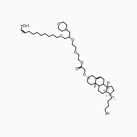 CCCCCCCC/C=C\CCCCCCCCOCC(CN1CCOCC1)OCCOCCOC(=O)CO[C@H]1CCC2(C)C(=CCC3C2CC[C@@]2(C)[C@H]3CC[C@H]2[C@H](C)CCCC(C)C)C1